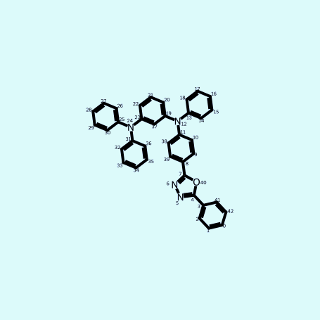 c1ccc(-c2nnc(-c3ccc(N(c4ccccc4)c4cccc(N(c5ccccc5)c5ccccc5)c4)cc3)o2)cc1